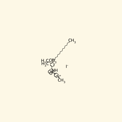 CCCCCCCCCCCCCCOc1ccc(C(CC)NC(=O)c2cc[n+](CC)cc2)cc1C(C)(C)C.[I-]